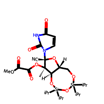 COC(=O)C(=O)O[C@]1(C)[C@@H]2O[Si](C(C)C)(C(C)C)O[Si](C(C)C)(C(C)C)OC[C@H]2O[C@@]1(C#N)n1ccc(=O)[nH]c1=O